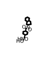 CON(C(=O)c1ccc(C(=O)NO)cc1)c1ccc2ccccc2c1